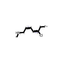 CNC/C=C\C=C(\Cl)CF